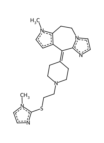 Cn1ccnc1SCCN1CCC(=C2c3ccn(C)c3CCn3ccnc32)CC1